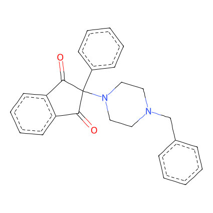 O=C1c2ccccc2C(=O)C1(c1ccccc1)N1CCN(Cc2ccccc2)CC1